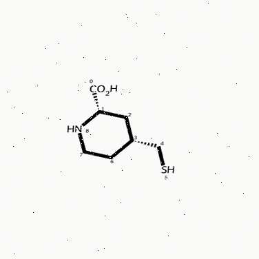 O=C(O)[C@@H]1C[C@H](CS)CCN1